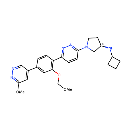 COCOc1cc(-c2cnnc(OC)c2)ccc1-c1ccc(N2CC[C@@H](NC3CCC3)C2)nn1